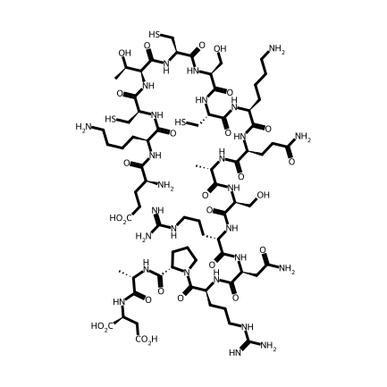 C[C@H](NC(=O)[C@H](CCC(N)=O)NC(=O)[C@H](CCCCN)NC(=O)[C@H](CS)NC(=O)[C@H](CO)NC(=O)[C@H](CS)NC(=O)[C@@H](NC(=O)[C@H](CS)NC(=O)[C@H](CCCCN)NC(=O)[C@@H](N)CCC(=O)O)[C@@H](C)O)C(=O)N[C@@H](CO)C(=O)N[C@@H](CCCNC(=N)N)C(=O)N[C@@H](CC(N)=O)C(=O)N[C@@H](CCCNC(=N)N)C(=O)N1CCC[C@H]1C(=O)N[C@@H](C)C(=O)N[C@@H](CC(=O)O)C(=O)O